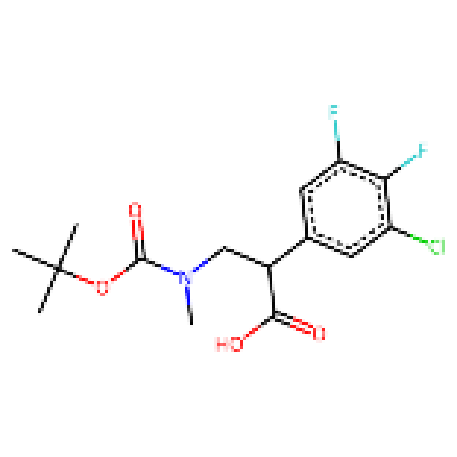 CN(CC(C(=O)O)c1cc(F)c(F)c(Cl)c1)C(=O)OC(C)(C)C